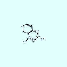 Cc1nc(C)c2c(n1)C=CCC2